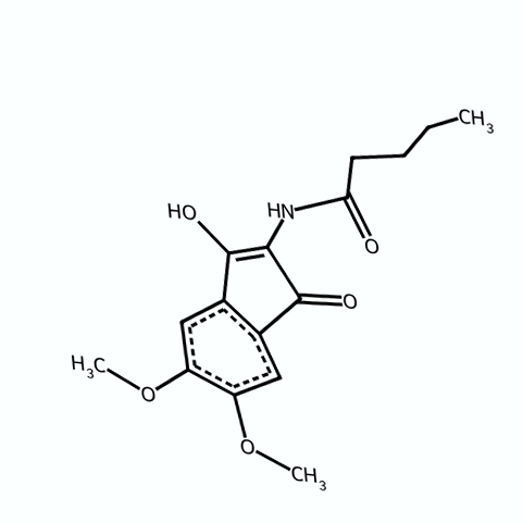 CCCCC(=O)NC1=C(O)c2cc(OC)c(OC)cc2C1=O